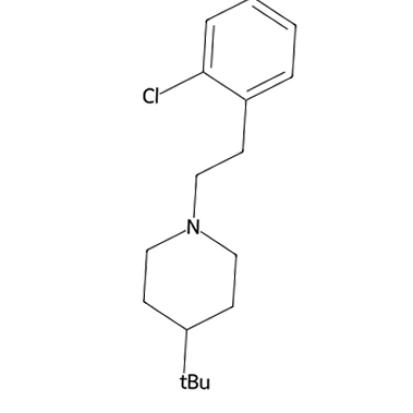 CC(C)(C)C1CCN(CCc2ccccc2Cl)CC1